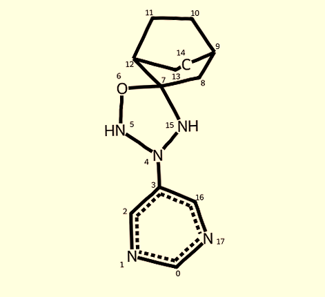 c1ncc(N2NOC3(CC4CCC3CC4)N2)cn1